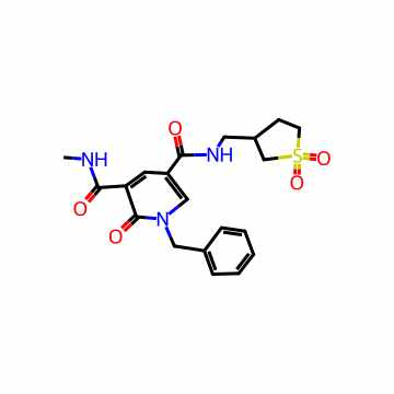 CNC(=O)c1cc(C(=O)NCC2CCS(=O)(=O)C2)cn(Cc2ccccc2)c1=O